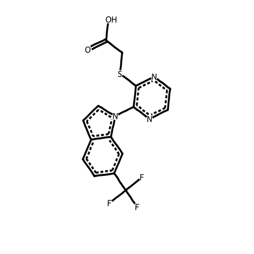 O=C(O)CSc1nccnc1-n1ccc2ccc(C(F)(F)F)cc21